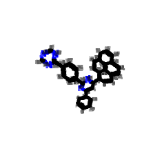 c1ccc(-c2cc(-c3ccc4ccc5cccc6ccc3c4c56)nc(-c3ccc(-c4ncncn4)cc3)n2)cc1